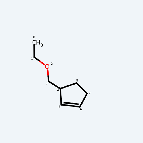 CCOCC1C=CCC1